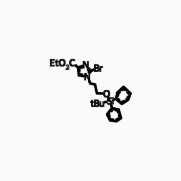 CCOC(=O)c1cn(CCCO[Si](c2ccccc2)(c2ccccc2)C(C)(C)C)c(Br)n1